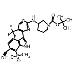 CC(C)(C)OC(=O)N1CCC[C@@H](Nc2ncc(C(F)(F)F)c(-c3c[nH]c4c(P(C)(C)=O)c(C#N)ccc34)n2)C1